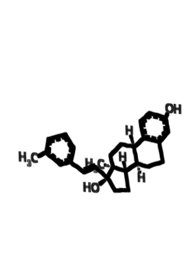 Cc1cccc(C=C[C@@]2(O)CC[C@H]3[C@@H]4CCc5cc(O)ccc5[C@H]4CC[C@@]32C)c1